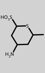 CC1CC(N)CC(S(=O)(=O)O)S1